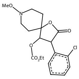 CCOC(=O)OC1C(c2ccccc2Cl)C(=O)OC12CCN(OC)CC2